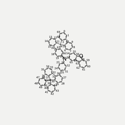 c1ccc(C2(c3ccccc3)c3ccccc3-c3ccc(N(c4ccc(-c5cccc6c5-c5ccccc5C6(c5ccccc5)c5ccccc5)cc4)c4ccc5oc6ccccc6c5c4)cc32)cc1